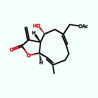 C=C1C(=O)O[C@@H]2/C=C(\C)CC/C=C(\COC(C)=O)C[C@@H](O)[C@@H]12